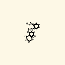 Nc1ccccc1Nc1ccc2c(c1)CCCC2